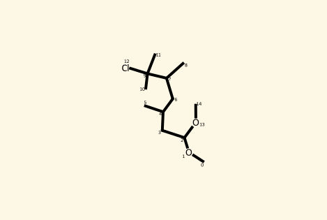 COC(CC(C)CC(C)C(C)(C)Cl)OC